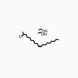 CCCCCCCC/C=C\CCCCCCCC(C)Cl.CCO.CCO